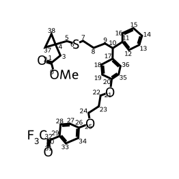 COC(=O)CC1(CSCCCC(c2ccccc2)c2ccc(OCCCOc3ccc(C(=O)C(F)(F)F)cc3)cc2)CC1